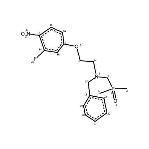 CP(C)(=O)CN(CCOc1ccc([N+](=O)[O-])c(F)c1)Cc1ccccc1